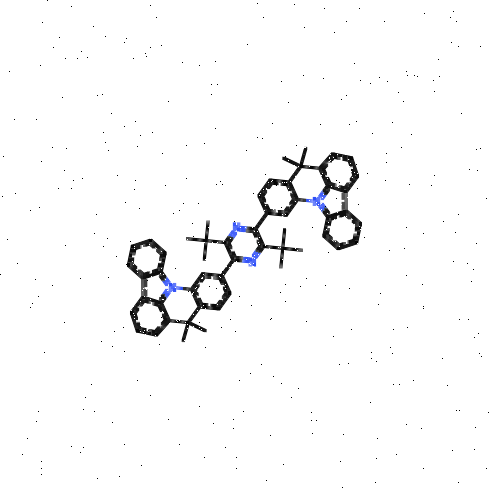 CC(C)(C)c1nc(-c2ccc3c(c2)-n2c4ccccc4c4cccc(c42)C3(C)C)c(C(C)(C)C)nc1-c1ccc2c(c1)-n1c3ccccc3c3cccc(c31)C2(C)C